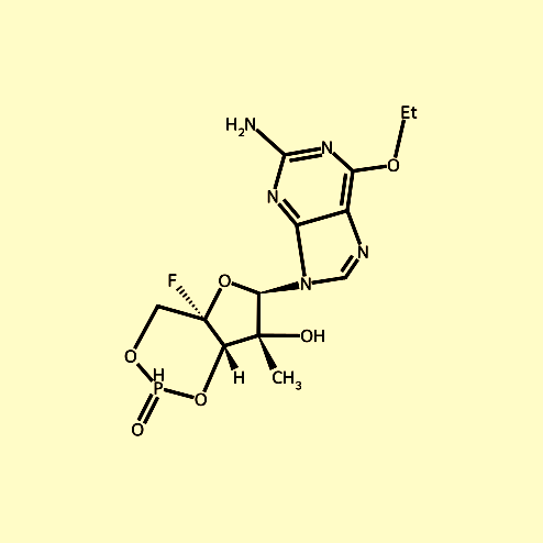 CCOc1nc(N)nc2c1ncn2[C@@H]1O[C@]2(F)CO[PH](=O)O[C@H]2[C@@]1(C)O